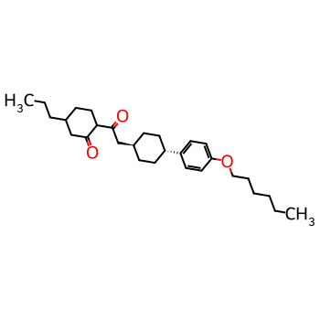 CCCCCCOc1ccc([C@H]2CC[C@H](CC(=O)C3CCC(CCC)CC3=O)CC2)cc1